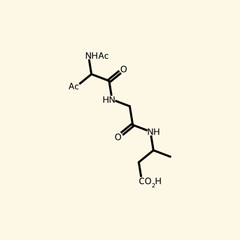 CC(=O)NC(C(C)=O)C(=O)NCC(=O)NC(C)CC(=O)O